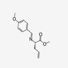 C=CC[C@@H](/N=C/c1ccc(OC)cc1)C(=O)OC